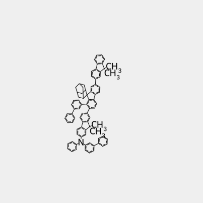 CC1(C)c2ccccc2-c2ccc(-c3ccc4c(c3)C3(c5c-4ccc(-c4ccc6c(c4)C(C)(C)c4cc(N(c7ccccc7)c7cccc(-c8ccccc8)c7)ccc4-6)c5-c4cccc(-c5ccccc5)c4)C4CC5CC(C4)CC3C5)cc21